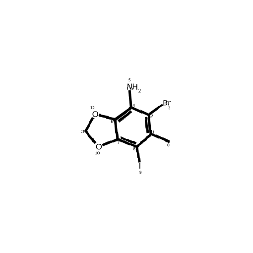 Cc1c(Br)c(N)c2c(c1I)OCO2